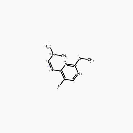 CSc1ncc(F)c(/N=C\N(C)C)n1